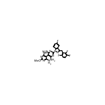 COc1nc(N)c(-c2c(N)nc(-n3nc(Cc4c(F)ccc(F)c4F)c4cc(F)ccc43)nc2N)c(N)n1